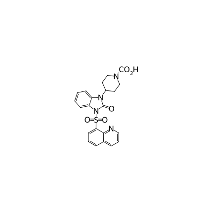 O=C(O)N1CCC(n2c(=O)n(S(=O)(=O)c3cccc4cccnc34)c3ccccc32)CC1